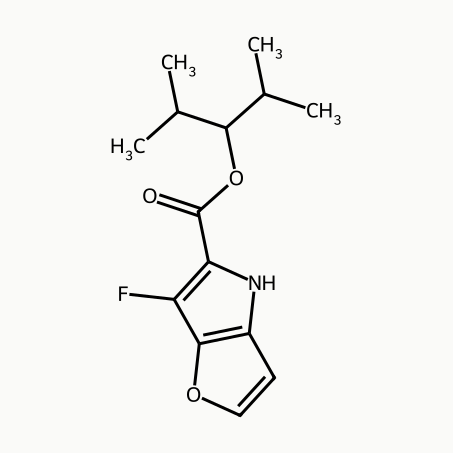 CC(C)C(OC(=O)c1[nH]c2ccoc2c1F)C(C)C